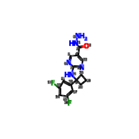 NNC(=O)c1cnc(NC2(c3cc(F)cc(F)c3)CCC2)nc1